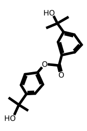 CC(C)(O)c1ccc(OC(=O)c2cccc(C(C)(C)O)c2)cc1